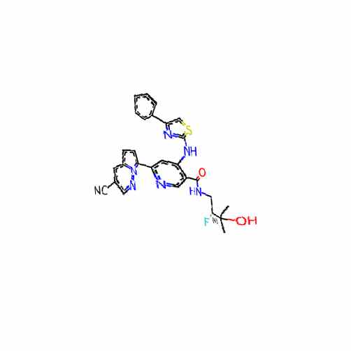 CC(C)(O)[C@H](F)CNC(=O)c1cnc(-c2ccc3cc(C#N)cnn23)cc1Nc1nc(-c2ccccc2)cs1